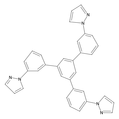 c1cc(-c2cc(-c3cccc(-n4cccn4)c3)cc(-c3cccc(-n4cccn4)c3)c2)cc(-n2cccn2)c1